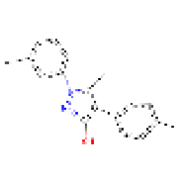 Cc1ccc(-c2c(O)nn(-c3cccc(C)c3)c2C)cc1